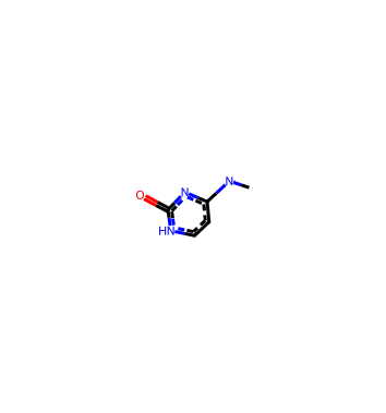 C[N]c1cc[nH]c(=O)n1